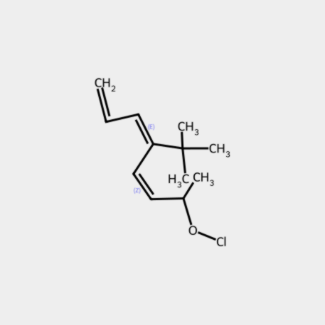 C=C/C=C(\C=C/C(C)OCl)C(C)(C)C